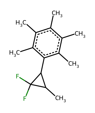 Cc1c(C)c(C)c(C2C(C)C2(F)F)c(C)c1C